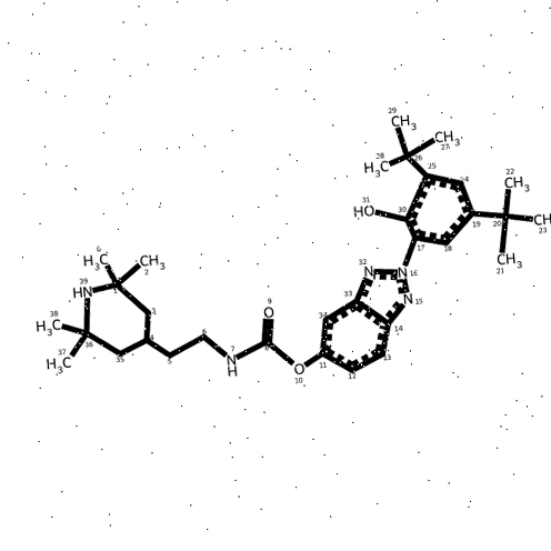 CC1(C)CC(CCNC(=O)Oc2ccc3nn(-c4cc(C(C)(C)C)cc(C(C)(C)C)c4O)nc3c2)CC(C)(C)N1